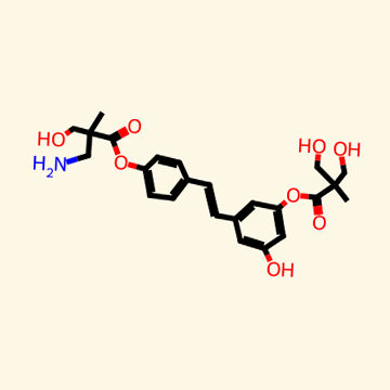 CC(CN)(CO)C(=O)Oc1ccc(/C=C/c2cc(O)cc(OC(=O)C(C)(CO)CO)c2)cc1